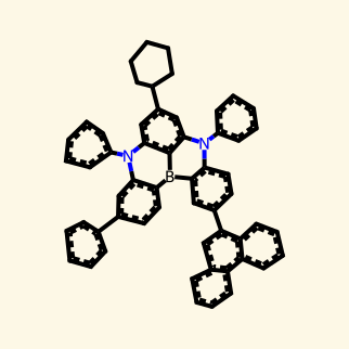 c1ccc(-c2ccc3c(c2)N(c2ccccc2)c2cc(C4CCCCC4)cc4c2B3c2cc(-c3cc5ccccc5c5ccccc35)ccc2N4c2ccccc2)cc1